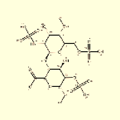 CC[C@@H]1OC(C(=O)O)[C@H](O[C@@H]2OC(COS(=O)(=O)O)[C@@H](OC)[C@@H](O)C2NS(=O)(=O)O)[C@@H](O)C1OS(=O)(=O)O